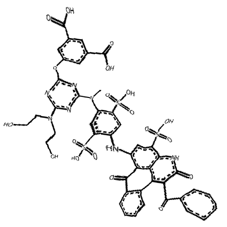 CN(c1nc(Oc2cc(C(=O)O)cc(C(=O)O)c2)nc(N(CCO)CCO)n1)c1cc(S(=O)(=O)O)c(Nc2cc(S(=O)(=O)O)c3[nH]c(=O)c(C(=O)c4ccccc4)c4c3c2C(=O)c2ccccc2-4)cc1S(=O)(=O)O